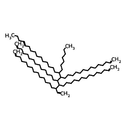 C=CCCCCCCCCCCCCC(C=C)C(CCCCCCCCCCCCC=C)C(CCCCCCCCCCCCC=C)C(CCCCCCCCCCCCC=C)C(CCCCCCC)CCCCCCCCCCC=CCCC